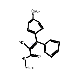 CCCCCCNC(=O)/C(C#N)=C(\c1ccccc1)c1ccc(OC)cc1